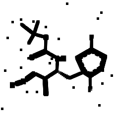 CC(C)(C)OC(=O)[AsH][C@H](Cc1cc(F)ccc1F)C(=O)C=[N+]=[N-]